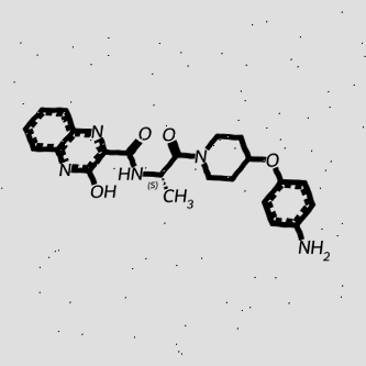 C[C@H](NC(=O)c1nc2ccccc2nc1O)C(=O)N1CCC(Oc2ccc(N)cc2)CC1